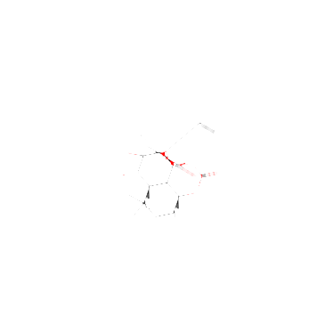 C=C[C@@]1(C)CC(=O)[C@@]23OC(=O)O[C@@H]4CCC(C)(C)[C@H]([C@H](O)[C@](O)(C(C)=O)[C@@]2(C)O1)[C@]43C